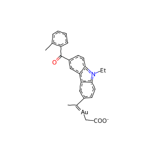 CCn1c2ccc(C(=O)c3ccccc3C)cc2c2cc([C](C)=[Au][CH2]C(=O)[O-])ccc21